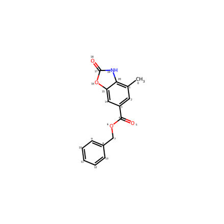 Cc1cc(C(=O)OCc2ccccc2)cc2oc(=O)[nH]c12